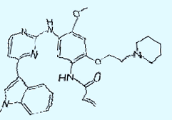 C=CC(=O)Nc1cc(Nc2nccc(-c3cn(C)c4ccccc34)n2)c(OC)cc1OCCN1CCCCC1